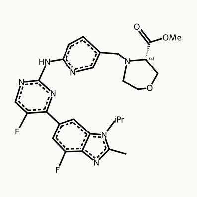 COC(=O)[C@@H]1COCCN1Cc1ccc(Nc2ncc(F)c(-c3cc(F)c4nc(C)n(C(C)C)c4c3)n2)nc1